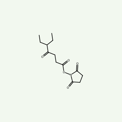 CCC(CC)C(=O)CCC(=O)ON1C(=O)CCC1=O